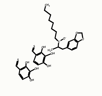 CCCCCCCC[S+]([O-])C(C)Cc1ccc2c(c1)OCO2.Oc1ccc(C=S)c(O)c1O.Oc1ccc(C=S)c(O)c1O